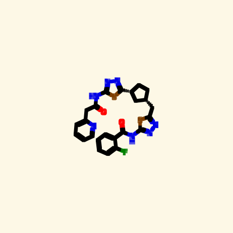 O=C(Cc1ccccn1)Nc1nnc([C@@H]2CC[C@H](Cc3nnc(NC(=O)c4ccccc4F)s3)C2)s1